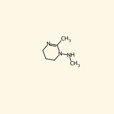 CNN1CCCN=C1C